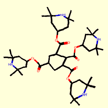 CC1(C)CC(OC(=O)C2CC(C(=O)OC3CC(C)(C)NC(C)(C)C3)C(C(=O)OC3CC(C)(C)NC(C)(C)C3)C(C(=O)OC3CC(C)(C)NC(C)(C)C3)C2)CC(C)(C)N1